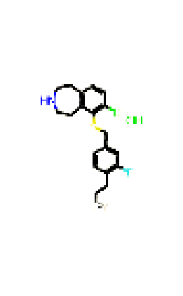 CC(C)CCc1ccc(CSc2c(Cl)ccc3c2CCNCC3)cc1F.Cl